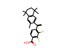 C=C(c1cc2c(cc1C)C(C)(C)CCC2(C)C)c1ccc(C(=O)O)c(F)c1F